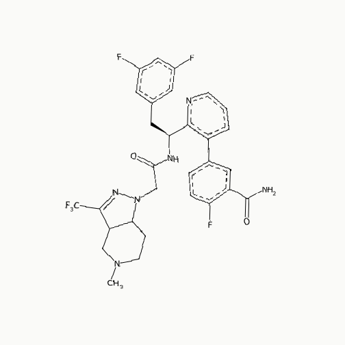 CN1CCC2C(C1)C(C(F)(F)F)=NN2CC(=O)N[C@@H](Cc1cc(F)cc(F)c1)c1ncccc1-c1ccc(F)c(C(N)=O)c1